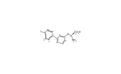 Cc1nnc(-c2cccc(C[C@H](N)C(=O)O)c2)nn1